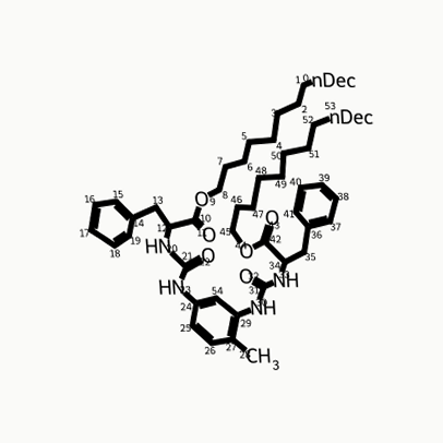 CCCCCCCCCCCCCCCCCCOC(=O)C(Cc1ccccc1)NC(=O)Nc1ccc(C)c(NC(=O)NC(Cc2ccccc2)C(=O)OCCCCCCCCCCCCCCCCCC)c1